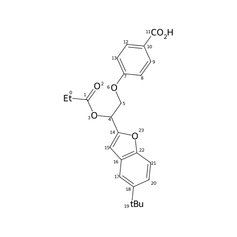 CCC(=O)OC(COc1ccc(C(=O)O)cc1)c1cc2cc(C(C)(C)C)ccc2o1